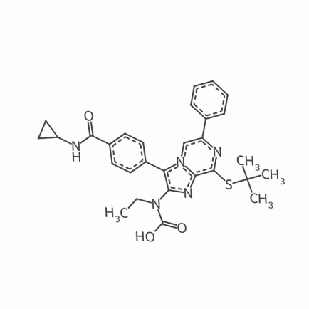 CCN(C(=O)O)c1nc2c(SC(C)(C)C)nc(-c3ccccc3)cn2c1-c1ccc(C(=O)NC2CC2)cc1